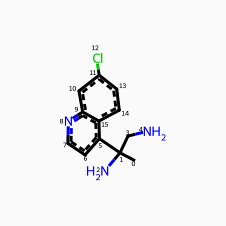 CC(N)(CN)c1ccnc2cc(Cl)ccc12